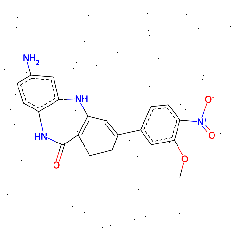 COc1cc(C2=CC3=C(CC2)C(=O)Nc2ccc(N)cc2N3)ccc1[N+](=O)[O-]